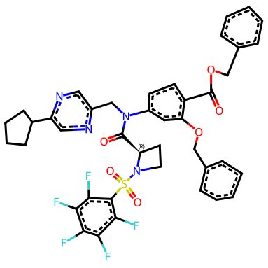 O=C(OCc1ccccc1)c1ccc(N(Cc2cnc(C3CCCC3)cn2)C(=O)[C@H]2CCN2S(=O)(=O)c2c(F)c(F)c(F)c(F)c2F)cc1OCc1ccccc1